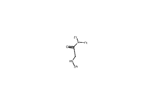 CCCNCC(=O)N(CC)CC